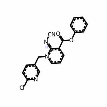 N#C/N=c1\c(C(=O)Oc2ccccc2)cccn1Cc1ccc(Cl)nc1